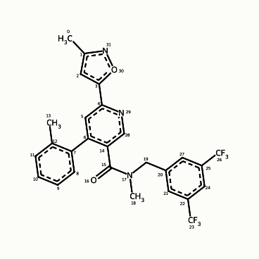 Cc1cc(-c2cc(-c3ccccc3C)c(C(=O)N(C)Cc3cc(C(F)(F)F)cc(C(F)(F)F)c3)cn2)on1